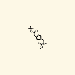 COC(=O)[C@H](C)Cc1ccc(CC(=O)OC(C)(C)C)cc1